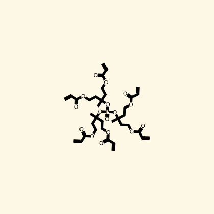 C=CC(=O)OCCC(C)(CCOC(=O)C=C)OP(=O)(OC(C)(CCOC(=O)C=C)CCOC(=O)C=C)OC(C)(CCOC(=O)C=C)CCOC(=O)C=C